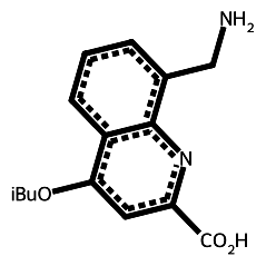 CC(C)COc1cc(C(=O)O)nc2c(CN)cccc12